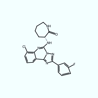 O=C1NCCCC[C@H]1Nc1nc2c(Cl)cccc2c2nc(-c3cccc(F)c3)nn12